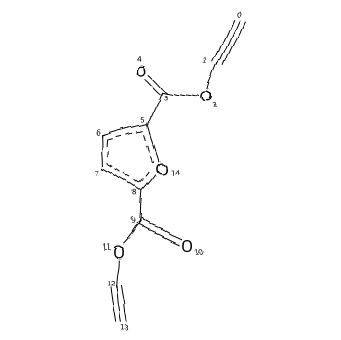 C#COC(=O)c1ccc(C(=O)OC#C)o1